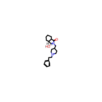 O=C1C2CCCC[C@@H]2[C@@H](O)N1CC1CCN(CCc2ccccc2)CC1